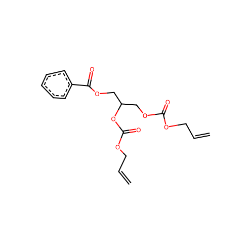 C=CCOC(=O)OCC(COC(=O)c1ccccc1)OC(=O)OCC=C